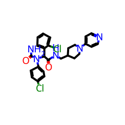 NC(=O)N(c1ccc(Cl)cc1)C(C(=O)NCC1CCN(c2ccncc2)CC1)c1ccccc1Cl